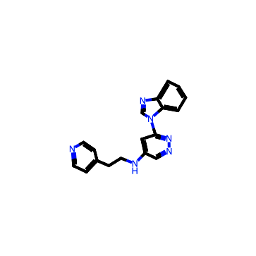 c1ccc2c(c1)ncn2-c1cc(NCCc2ccncc2)cnn1